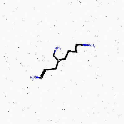 NC=CCC(CN)CCCCN